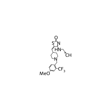 C#CCNC1=NC(=O)SC1=CC1CCN(Cc2ccc(OC)cc2C(F)(F)F)CC1